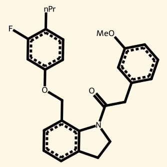 CCCc1ccc(OCc2cccc3c2N(C(=O)Cc2cccc(OC)c2)CC3)cc1F